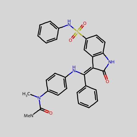 CNC(=O)N(C)c1ccc(NC(=C2C(=O)Nc3ccc(S(=O)(=O)Nc4ccccc4)cc32)c2ccccc2)cc1